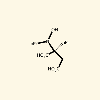 CCCN(O)[C@@](CCC)(CC(=O)O)C(=O)O